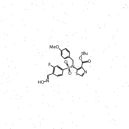 COc1ccc(CN(c2scnc2C(=O)OC(C)(C)C)S(=O)(=O)c2ccc(C=NO)c(F)c2)cc1